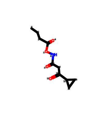 CCCC(=O)ONC(=O)CC(=O)C1CC1